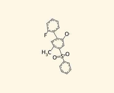 Cc1cc(-c2ccccc2F)c([O])cc1S(=O)(=O)c1ccccc1